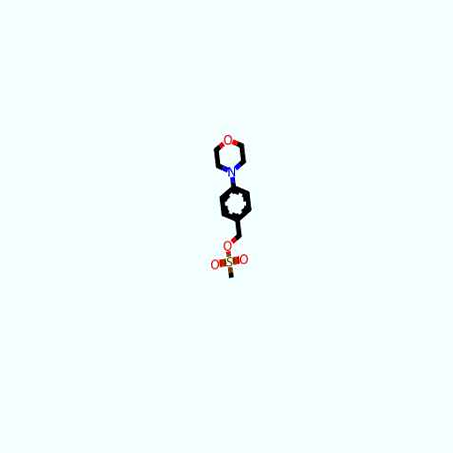 CS(=O)(=O)OCc1ccc(N2CCOCC2)cc1